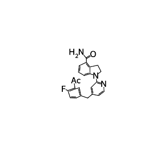 CC(=O)c1cc(Cc2ccnc(N3CCc4c(C(N)=O)cccc43)c2)ccc1F